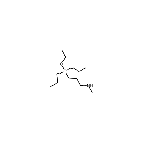 CC[O][Ti]([CH2]CCNC)([O]CC)[O]CC